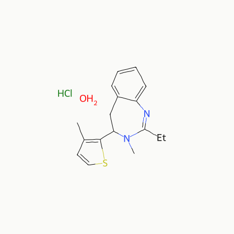 CCC1=Nc2ccccc2CC(c2sccc2C)N1C.Cl.O